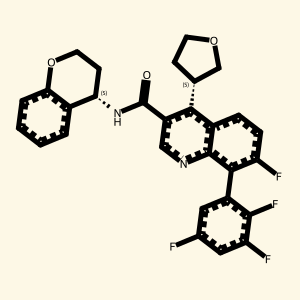 O=C(N[C@H]1CCOc2ccccc21)c1cnc2c(-c3cc(F)cc(F)c3F)c(F)ccc2c1[C@@H]1CCOC1